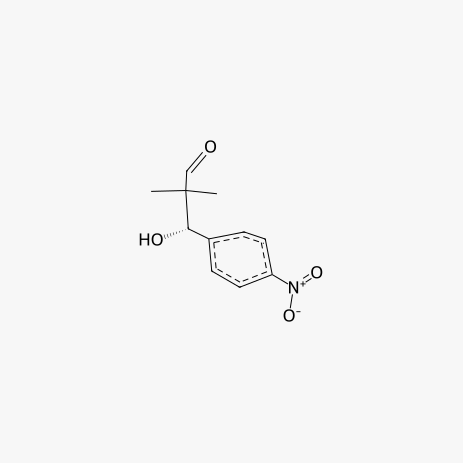 CC(C)(C=O)[C@@H](O)c1ccc([N+](=O)[O-])cc1